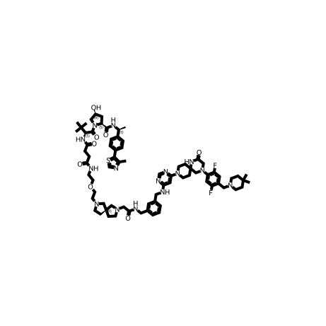 Cc1ncsc1-c1ccc([C@H](C)NC(=O)[C@@H]2C[C@@H](O)CN2C(=O)[C@@H](NC(=O)CCC(=O)NCCOCCN2CC[C@@]3(CCN(CC(=O)NCc4cccc(CNc5cc(N6CCC7(CC6)CN(c6cc(F)c(CN8CCC(C)(C)CC8)cc6F)CC(=O)N7)ncn5)c4)C3)C2)C(C)(C)C)cc1